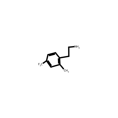 Cc1cc(C(F)(F)F)ccc1CCN